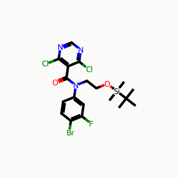 CC(C)(C)[Si](C)(C)OCCN(C(=O)c1c(Cl)ncnc1Cl)c1ccc(Br)c(F)c1